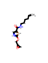 C=CCCCCNC(=O)c1cnc(OCC2CO2)s1